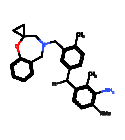 CCC(c1ccc(C)c(CN2Cc3ccccc3OC3(CC3)C2)c1)c1ccc(NC)c(N)c1C